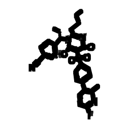 CCCCc1nc(=O)c(S(=O)(=O)c2ccc(-c3ccc(F)nc3C)cc2)c(O)n1[C@@H](CC)c1ccc(C#N)cc1